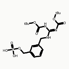 CC(C)(C)OC(=O)N=C(NCc1cccc(COP(=O)(O)O)c1)NC(=O)OC(C)(C)C